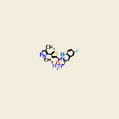 Cc1cnn(C)c1-c1csc(C(=O)N[C@H](CN)Cc2cc(F)ccc2F)c1